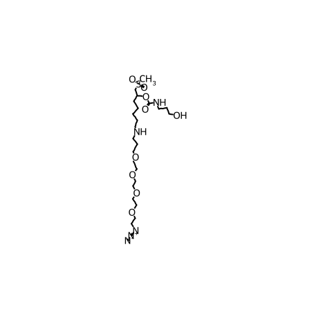 CS(=O)(=O)CC(CCCCCNCCCOCCOCCOCCOCCN=[N+]=[N-])OC(=O)NCCCO